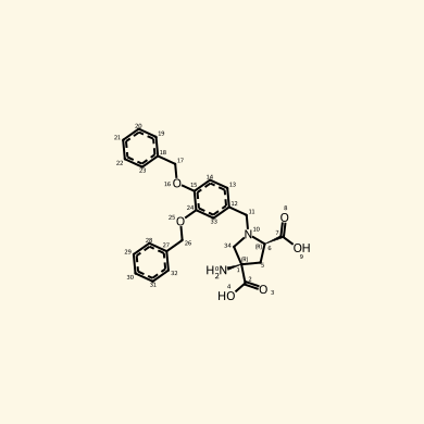 N[C@]1(C(=O)O)C[C@H](C(=O)O)N(Cc2ccc(OCc3ccccc3)c(OCc3ccccc3)c2)C1